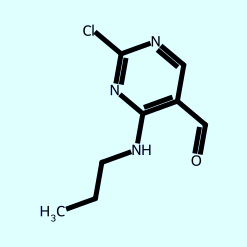 CCCNc1nc(Cl)ncc1C=O